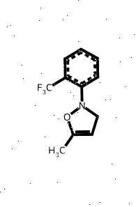 CC1=CCN(c2ccccc2C(F)(F)F)O1